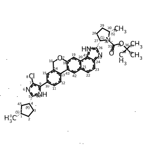 C[C@H]1CC[C@@H](c2nc(Cl)c(-c3ccc4c(c3)COc3cc5c(ccc6nc([C@@H]7CC[C@H](C)N7C(=O)OC(C)(C)C)[nH]c65)cc3-4)[nH]2)C1